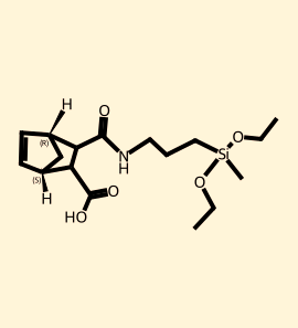 CCO[Si](C)(CCCNC(=O)C1C(C(=O)O)[C@@H]2C=C[C@H]1C2)OCC